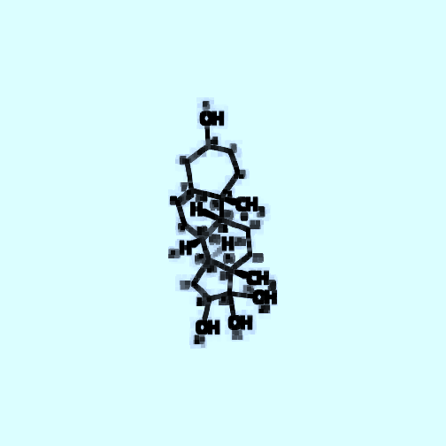 C[C@]12CCC(O)CC1=CC[C@@H]1[C@H]2CC[C@@]2(C)[C@H]1CC(O)C2(O)O